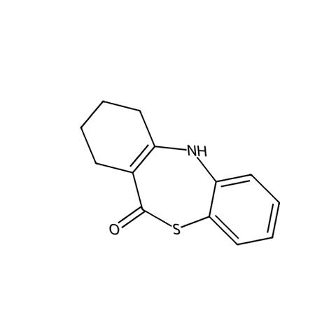 O=C1Sc2ccccc2NC2=C1CCCC2